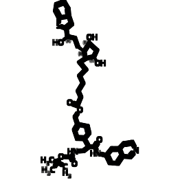 CC(C)(C)OC(=O)NCC(C(=O)Nc1ccc2cnccc2c1)c1ccc(COC(=O)CCCCCCC2[C@@H](CC[C@@H](O)c3cc4ccccc4s3)[C@H](O)C[C@@H]2O)cc1